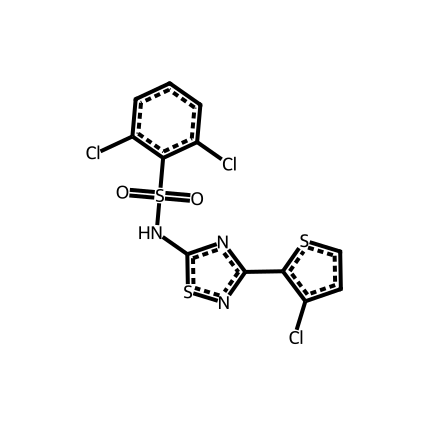 O=S(=O)(Nc1nc(-c2sccc2Cl)ns1)c1c(Cl)cccc1Cl